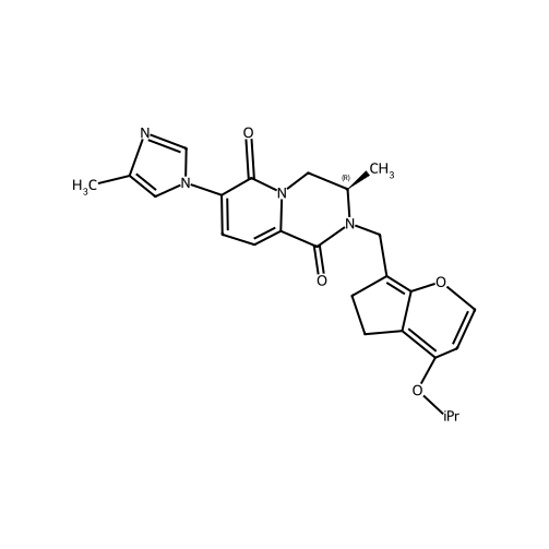 Cc1cn(-c2ccc3n(c2=O)C[C@@H](C)N(CC2=C4OC=CC(OC(C)C)=C4CC2)C3=O)cn1